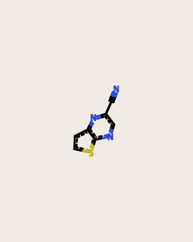 N#Cc1cnc2sccc2n1